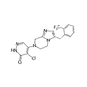 O=c1[nH]ncc(N2CCn3c(Cc4ccccc4C(F)(F)F)cnc3C2)c1Cl